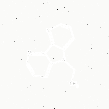 CCn1c2cccnc2c2ncccc21